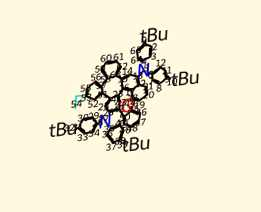 CC(C)(C)c1ccc(N(c2ccc(C(C)(C)C)cc2)c2cc3c(c4ccccc24)-c2c(cc(N(c4ccc(C(C)(C)C)cc4)c4ccc(C(C)(C)C)cc4)c4c2oc2ccccc24)-c2cc(F)ccc2-c2ccccc2-3)cc1